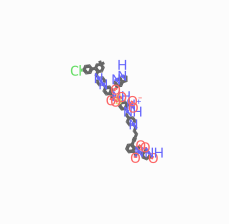 CC1(C)CCC(CN2CCN(c3ccc(C(=O)NS(=O)(=O)c4ccc(NCC5CCN(CCCC#Cc6cccc7c6C(=O)N(C6CCC(=O)NC6=O)C7=O)CC5)c([N+](=O)[O-])c4)c(Oc4cnc5[nH]ccc5c4)c3)CC2)=C(c2ccc(Cl)cc2)C1